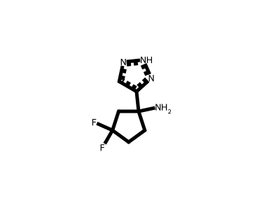 NC1(c2cn[nH]n2)CCC(F)(F)C1